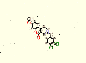 COc1ccc2c3c(c(=O)oc2c1)CN(Cc1ccc(Cl)c(Cl)c1)CC3